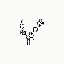 CCN1CCC(n2cc(-c3c[nH]c4ncc(-c5ccc(N6CCOC7(CC7)C6)cc5)nc34)cn2)CC1